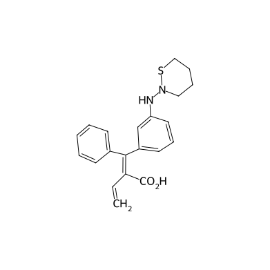 C=CC(C(=O)O)=C(c1ccccc1)c1cccc(NN2CCCCS2)c1